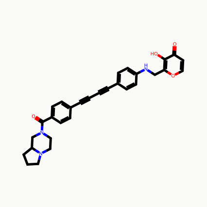 O=C(c1ccc(C#CC#Cc2ccc(NCc3occc(=O)c3O)cc2)cc1)N1CCN2CCCC2C1